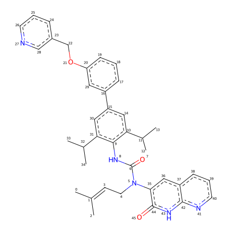 CC(C)=CCN(C(=O)Nc1c(C(C)C)cc(-c2cccc(OCc3cccnc3)c2)cc1C(C)C)c1cc2cccnc2[nH]c1=O